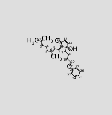 CC(C)=CCC/C(C)=C/C=C1\C(=O)C=CC1(O)CCCCOc1ccccc1